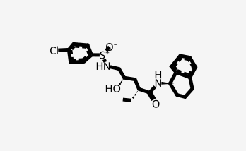 CC[C@H](C[C@H](O)CN[S+]([O-])c1ccc(Cl)cc1)C(=O)N[C@@H]1CCCc2ccccc21